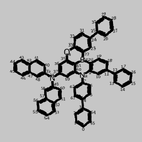 c1ccc(-c2ccc(N3c4cc(-c5ccccc5)ccc4B4c5cc(-c6ccccc6)ccc5Oc5cc(N(c6ccc7ccccc7c6)c6ccc7ccccc7c6)cc3c54)cc2)cc1